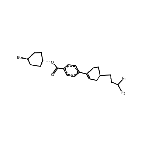 CCC(CC)CCC1CC=C(c2ccc(C(=O)O[C@H]3CC[C@H](CC)CC3)cc2)CC1